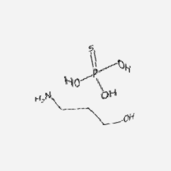 NCCCO.OP(O)(O)=S